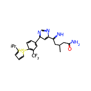 CC(CC(=N)c1cc(-c2ccc([SH]3C=CC=C3C(C)C)c(C(F)(F)F)c2)ncn1)CC(N)=O